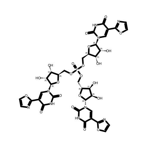 O=c1[nH]c(=O)n([C@@H]2O[C@H](COP(=O)(OC[C@H]3O[C@@H](n4cc(-c5ncco5)c(=O)[nH]c4=O)[C@H](O)[C@@H]3O)OC[C@H]3O[C@@H](n4cc(-c5ncco5)c(=O)[nH]c4=O)[C@H](O)[C@@H]3O)[C@@H](O)[C@H]2O)cc1-c1ncco1